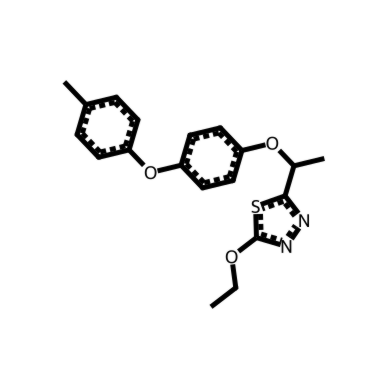 CCOc1nnc(C(C)Oc2ccc(Oc3ccc(C)cc3)cc2)s1